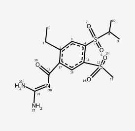 CCc1cc(S(=O)(=O)C(C)C)c(S(C)(=O)=O)cc1C(=O)N=C(N)N